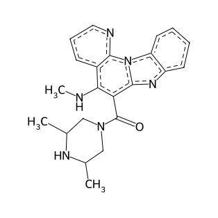 CNc1c(C(=O)N2CC(C)NC(C)C2)c2nc3ccccc3n2c2ncccc12